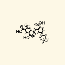 CC1(C)CCC(c2ccc(C(=O)O)c(NC(=O)c3cc(O)c(C(=O)O)cc3C(=O)O)c2)CC1